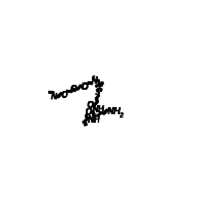 C=CC(C)N[C@@H](CCCCN)C(=O)NC(=O)CCCSSC(C)(C)CN(C)CCOCCOCCOCCN(C)CC